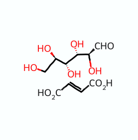 O=C(O)C=CC(=O)O.O=C[C@@H](O)[C@@H](O)[C@H](O)[C@H](O)CO